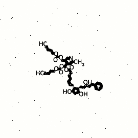 C#CCCCOC(=O)OCc1cnc(C)c(OC(=O)CCC/C=C\C[C@@H]2[C@@H](CC[C@@H](O)CCc3ccccc3)[C@H](O)C[C@@H]2O)c1COC(=O)OCCCC#C